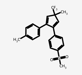 Cc1ccc(C2=CC(C)(C(F)(F)F)C=C2c2ccc(S(C)(=O)=O)cc2)cc1